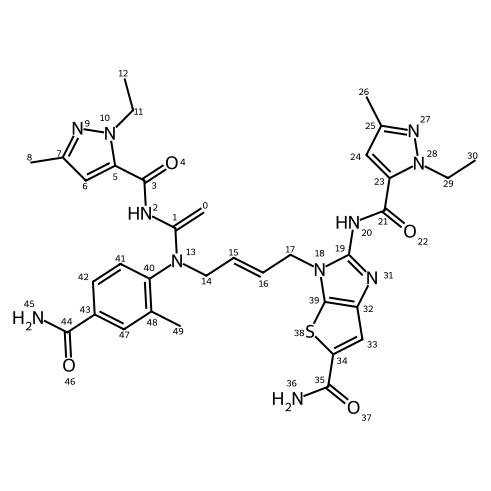 C=C(NC(=O)c1cc(C)nn1CC)N(C/C=C/Cn1c(NC(=O)c2cc(C)nn2CC)nc2cc(C(N)=O)sc21)c1ccc(C(N)=O)cc1C